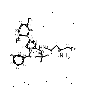 CC(C)(C)[C@@H](NCC[C@@H](N)CF)c1nc(-c2cc(F)ccc2F)cn1Cc1ccccc1